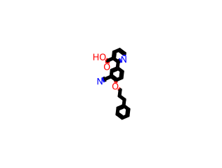 N#Cc1cc(-c2ncccc2C(=O)O)ccc1OCCCc1ccccc1